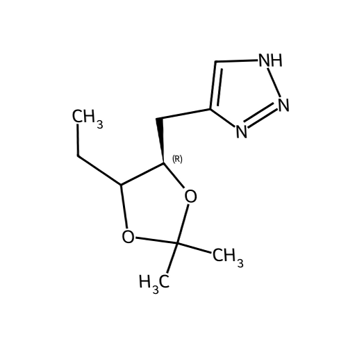 CCC1OC(C)(C)O[C@@H]1Cc1c[nH]nn1